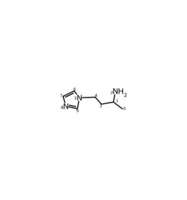 CC(N)CCn1ccnc1